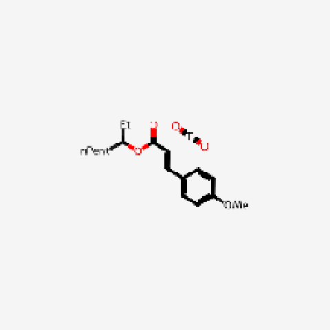 CCCCCC(CC)OC(=O)C=Cc1ccc(OC)cc1.[O]=[Ti]=[O]